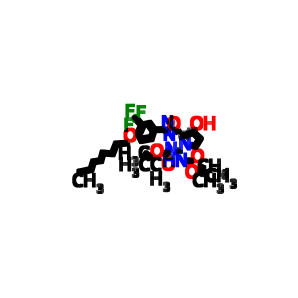 CCCCCCCCCOc1ccc(-c2noc([C@@H]3[C@@H](O)CCN3/C(=N/C(=O)OC(C)(C)C)NC(=O)OC(C)(C)C)n2)cc1C(F)(F)F